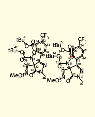 CON=C(C)C1(N(OC(=O)OC(C)(C)C)C(=O)OC(C)(C)C)C(=O)N(C)N=C1c1ccc(C(F)(F)F)cc1.CON=C(C)C1(N(OC(=O)OC(C)(C)C)C(=O)OC(C)(C)C)C(=O)N(C)N=C1c1ccc(C(F)(F)F)cc1